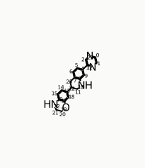 c1cnc(-c2ccc3c(c2)NCC(c2ccc4c(c2)OCCN4)C3)cn1